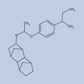 CCC(C)c1ccc(OC(C)OC2CC3CC2C2C4CCC(C4)C32)cc1